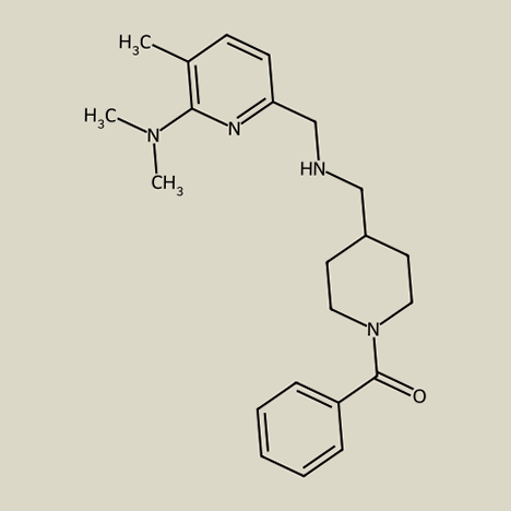 Cc1ccc(CNCC2CCN(C(=O)c3ccccc3)CC2)nc1N(C)C